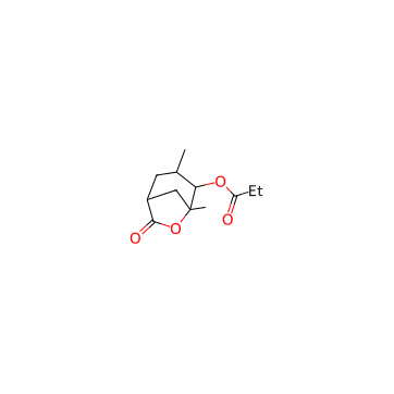 CCC(=O)OC1C(C)CC2CC1(C)OC2=O